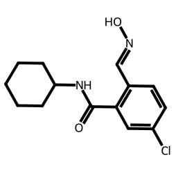 O=C(NC1CCCCC1)c1cc(Cl)ccc1C=NO